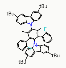 Cc1c(-c2ccccc2F)c(-n2c3ccc(C(C)(C)C)cc3c3cc(C(C)(C)C)ccc32)c(-c2ccccc2F)c(C)c1-n1c2ccc(C(C)(C)C)cc2c2cc(C(C)(C)C)ccc21